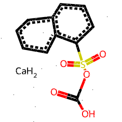 O=C(O)OS(=O)(=O)c1cccc2ccccc12.[CaH2]